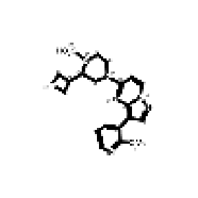 COc1ncccc1-c1cnn2ccc(N3CCN(C(=O)O)C(C4COC4)C3)nc12